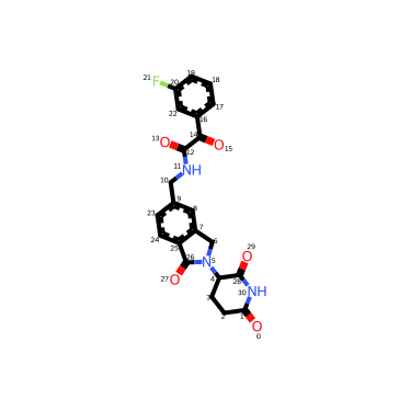 O=C1CCC(N2Cc3cc(CNC(=O)C(=O)c4cccc(F)c4)ccc3C2=O)C(=O)N1